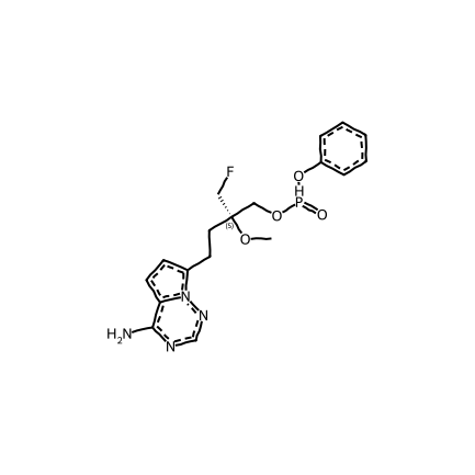 CO[C@@](CF)(CCc1ccc2c(N)ncnn12)CO[PH](=O)Oc1ccccc1